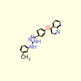 Cc1cccc(Nc2nnc(-c3ccc(Oc4ccnc5ccccc45)cc3)[nH]2)c1